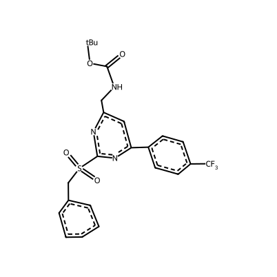 CC(C)(C)OC(=O)NCc1cc(-c2ccc(C(F)(F)F)cc2)nc(S(=O)(=O)Cc2ccccc2)n1